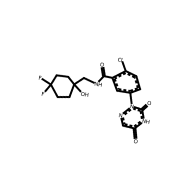 O=C(NCC1(O)CCC(F)(F)CC1)c1cc(-n2ncc(=O)[nH]c2=O)ccc1Cl